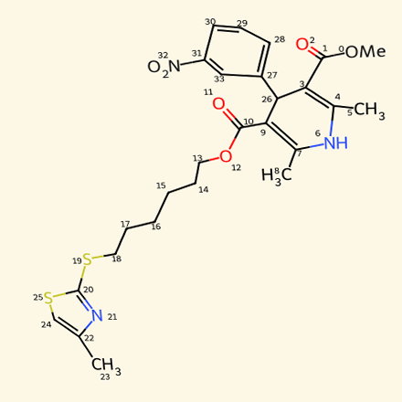 COC(=O)C1=C(C)NC(C)=C(C(=O)OCCCCCCSc2nc(C)cs2)C1c1cccc([N+](=O)[O-])c1